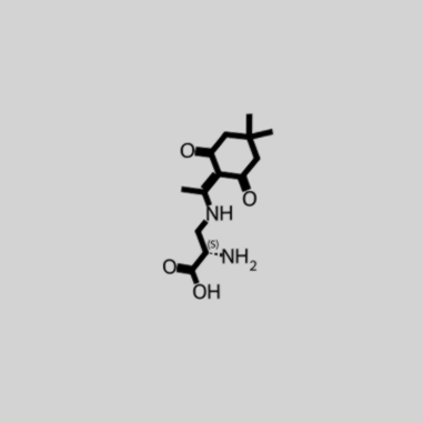 CC(NC[C@H](N)C(=O)O)=C1C(=O)CC(C)(C)CC1=O